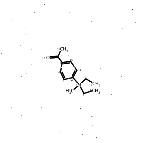 CC[N+](C)(CC)c1ccc(C(C)=O)cc1